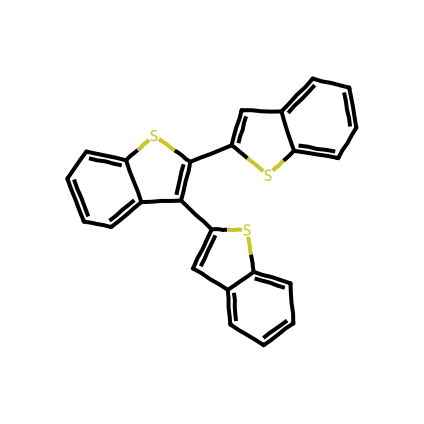 c1ccc2sc(-c3sc4ccccc4c3-c3cc4ccccc4s3)cc2c1